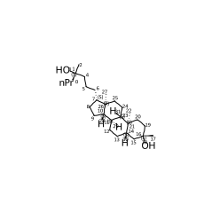 CCC[C@](C)(O)CCC[C@H]1CC[C@H]2[C@@H]3CC[C@H]4C[C@@](C)(O)CC[C@]4(C)[C@H]3CC[C@]12C